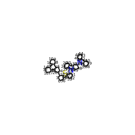 c1cc(-c2ccc3c4ccccc4c4ccccc4c3c2)c2sc3c(-n4c5ccccc5c5cc(-n6c7ccccc7c7ccccc76)ccc54)cccc3c2c1